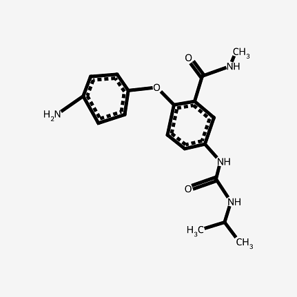 CNC(=O)c1cc(NC(=O)NC(C)C)ccc1Oc1ccc(N)cc1